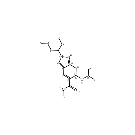 CCCC(CC)n1cc2cc(C(=O)OC)c(OC(C)C)cc2n1